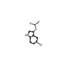 FC(F)Sc1c[nH]c2ccc(Cl)cc12